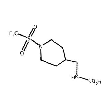 O=C(O)NCC1CCN(S(=O)(=O)C(F)(F)F)CC1